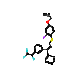 O=C(O)COc1ccc(SCC=C(c2ccccc2)c2cccc(C(F)C(F)F)c2)c(I)c1